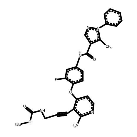 CC(C)(C)OC(=O)NCC#Cc1c(Oc2ccc(NC(=O)c3cnn(-c4ccccc4)c3C(F)(F)F)cc2F)ccnc1N